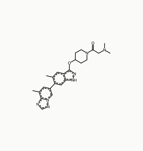 Cc1cc2c(OC3CCN(C(=O)CN(C)C)CC3)n[nH]c2cc1-c1cc(C)c2ncnn2c1